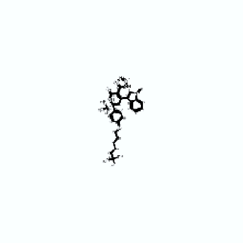 Cn1cc(C2=C(c3nnn[nH]3)C(=O)N[C@@](c3ccc(OCCCCCC(F)(F)F)cc3)(C(F)(F)F)C2)c2ccccc21